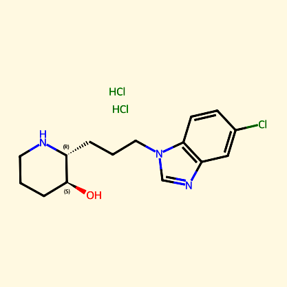 Cl.Cl.O[C@H]1CCCN[C@@H]1CCCn1cnc2cc(Cl)ccc21